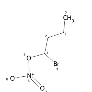 CCCC(Br)O[N+](=O)[O-]